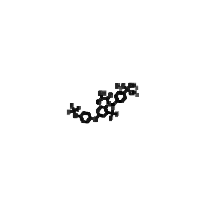 CC(C)(C)c1ccc(CN(C(=O)C(=O)O)c2ccc(Oc3ccc(OC(F)(F)F)cc3)cc2C(F)(F)F)cc1